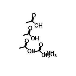 CC(=O)O.CC(=O)O.CC(=O)O.CC(=O)O.N.O